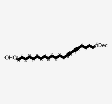 CCCCCCCCCCCCCCC#CC#CCCCCCCCCCCCCC[C]=O